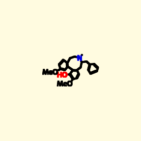 COc1ccc2c(c1)-c1c(ccc(OC)c1O)CC(Cc1ccccc1)N(C)CC2